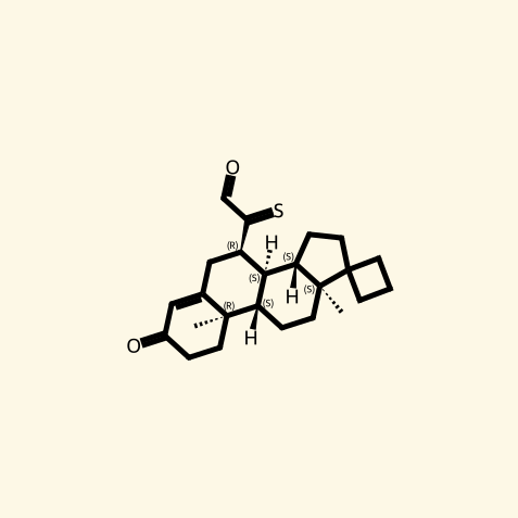 C[C@]12CCC(=O)C=C1C[C@@H](C(=S)C=O)[C@@H]1[C@@H]2CC[C@@]2(C)[C@H]1CCC21CCC1